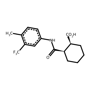 Cc1ccc(NC(=O)[C@@H]2CCCC[C@@H]2C(=O)O)cc1C(F)(F)F